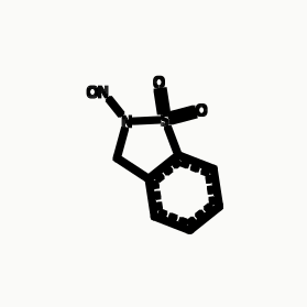 O=NN1Cc2ccccc2S1(=O)=O